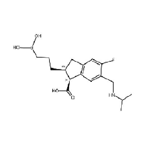 CC(C)NCc1cc2c(cc1F)C[C@H](CCCB(O)O)[C@@H]2C(=O)O